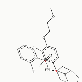 COCCOc1ccc(CN2C3CCC2CC(NC(=O)c2ccccc2F)C3)c(C)c1C